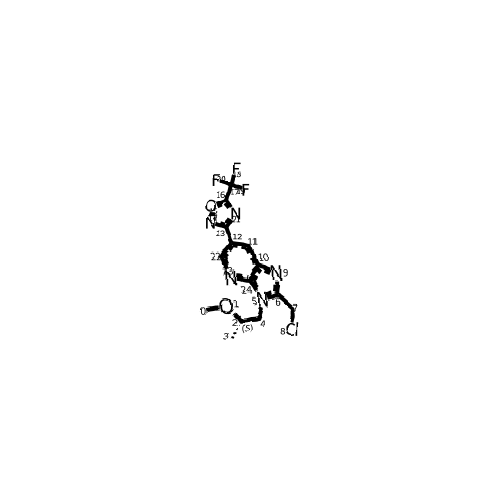 CO[C@@H](C)Cn1c(CCl)nc2cc(-c3noc(C(F)(F)F)n3)cnc21